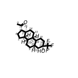 CC(=O)[C@H]1CC[C@H]2[C@@H]3CC[C@H]4C[C@](O)(C(F)(F)F)CC[C@]4(C)[C@H]3CC[C@]12C